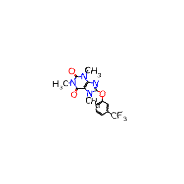 Cn1c(=O)c2c(nc(Oc3cccc(C(F)(F)F)c3)n2C)n(C)c1=O